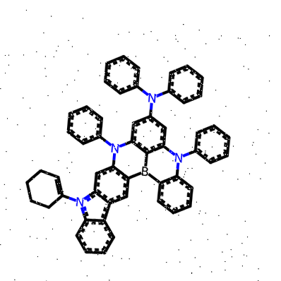 C1=C(n2c3ccccc3c3cc4c(cc32)N(c2ccccc2)c2cc(N(c3ccccc3)c3ccccc3)cc3c2B4c2ccccc2N3c2ccccc2)CCCC1